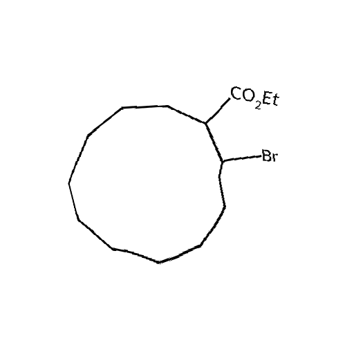 CCOC(=O)C1CCCCCCCCCC1Br